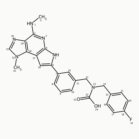 CNc1nc2[nH]c(-c3cccc(CN(Cc4ccc(F)cc4)C(=O)O)c3)cc2c2c1ncn2C